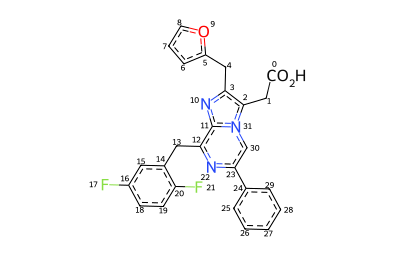 O=C(O)Cc1c(Cc2ccco2)nc2c(Cc3cc(F)ccc3F)nc(-c3ccccc3)cn12